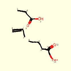 C=CC.CCC(=O)O.CCCC(=O)O